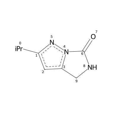 CC(C)c1cc2n(n1)C(=O)NC2